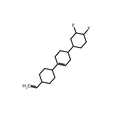 C=CC1CCC(C2=CCC(C3CCC(F)C(F)C3)CC2)CC1